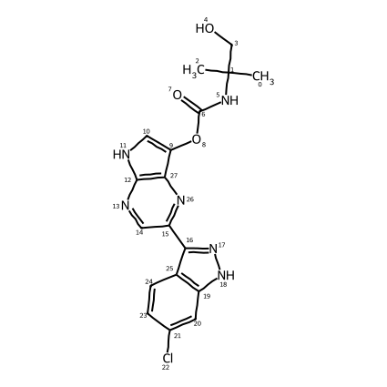 CC(C)(CO)NC(=O)Oc1c[nH]c2ncc(-c3n[nH]c4cc(Cl)ccc34)nc12